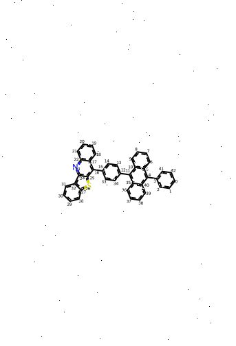 c1ccc(-c2c3ccccc3c(-c3ccc(-c4c5ccccc5nc5c4sc4ccccc45)cc3)c3ccccc23)cc1